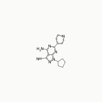 N#Cc1nn(C2CCCC2)c2nc(-c3ccncc3)nc(N)c12